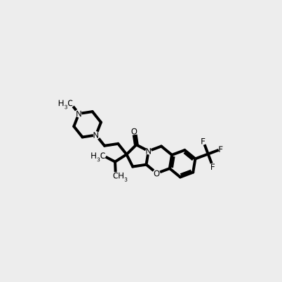 CC(C)C1(CCN2CCN(C)CC2)CC2Oc3ccc(C(F)(F)F)cc3CN2C1=O